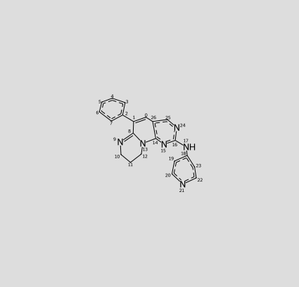 C1=C(c2ccccc2)C2=NCCCN2c2nc(Nc3ccncc3)ncc21